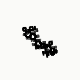 CN1C(=O)CCc2cc(-c3cncc(CNC(=O)c4cnoc4C(F)(F)F)c3)ccc21